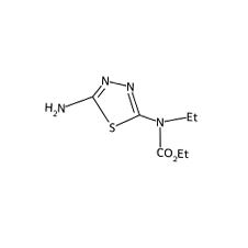 CCOC(=O)N(CC)c1nnc(N)s1